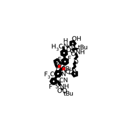 C[C@H](NC(=O)[C@@H]1C[C@@H](O)CN1C(=O)[C@@H](NC(=O)CCOCCCN1CCC[C@H]1COc1nc(N2CC3CCC(C2)N3C(=O)OC(C)(C)C)c2cc(C(F)(F)F)c(-c3ccc(F)c4sc(NC(=O)OC(C)(C)C)c(C#N)c34)cc2n1)C(C)(C)C)c1ccc(-c2c(F)cccc2F)cc1